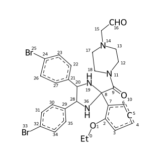 CCOc1ccccc1C1(C(=O)N2CCN(CC=O)CC2)NC(c2ccc(Br)cc2)C(c2ccc(Br)cc2)N1